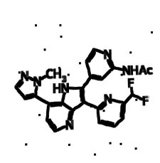 CC(=O)Nc1cc(-c2[nH]c3c(-c4ccnn4C)ccnc3c2-c2cccc(C(F)F)n2)ccn1